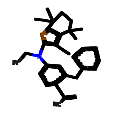 C=C(C#N)c1ccc(N(CC(C)C)c2sc3c(c2C)C(C)(C)CCC3(C)C)cc1Cc1ccccc1